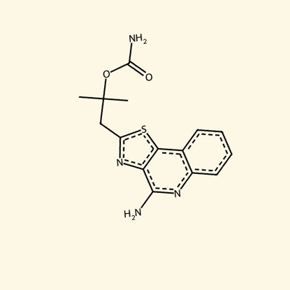 CC(C)(Cc1nc2c(N)nc3ccccc3c2s1)OC(N)=O